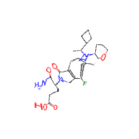 CC(N[C@H]1CCCO[C@@H]1Cc1ccc2c(c1F)CN([C@@H](CCC(=O)O)C(N)=O)C2=O)C1CCC1